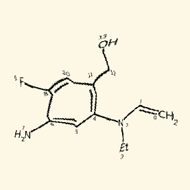 C=CN(CC)c1cc(N)c(F)cc1CO